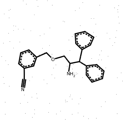 N#Cc1cccc(COCC(N)C(c2ccccc2)c2ccccc2)c1